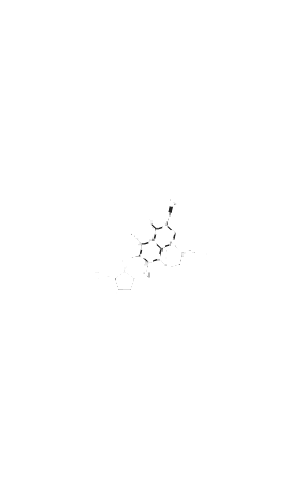 C[C@@H]1CC[C@@H](Nc2c(F)c(N)c3c(=O)c(C#N)cn4c3c2OC[C@@H]4C)C1